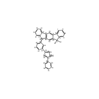 CC1(C)c2ccccc2-c2cc3c4ccccc4n(-c4cccc(-c5n[nH]c(-c6ccccc6)n5)c4)c3cc21